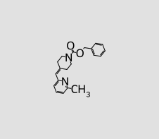 Cc1cccc(C=C2CCN(C(=O)OCc3ccccc3)CC2)n1